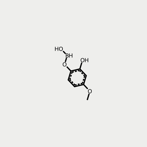 COc1ccc(OBO)c(O)c1